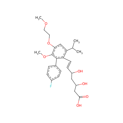 COCCOc1cc(C(C)C)c(C=CC(O)CC(O)CC(=O)O)c(-c2ccc(F)cc2)c1OC